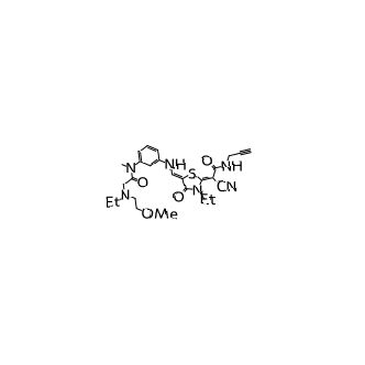 C#CCNC(=O)C(C#N)=c1sc(=CNc2cccc(N(C)C(=O)CN(CC)CCOC)c2)c(=O)n1CC